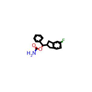 NC(=O)OC(c1ccccc1)C1Cc2ccc(F)cc2C1